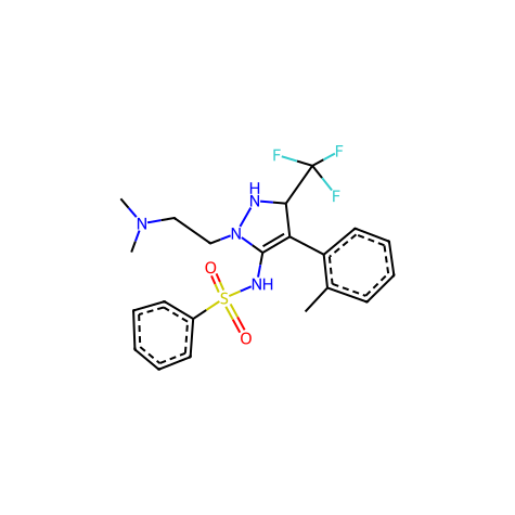 Cc1ccccc1C1=C(NS(=O)(=O)c2ccccc2)N(CCN(C)C)NC1C(F)(F)F